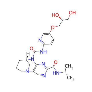 C[C@@H](NC(=O)c1ncc2c(n1)N(C(=O)Nc1ccc(OC[C@@H](O)CO)cn1)[C@H]1CCCN2C1)C(F)(F)F